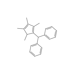 CC1=C(C)C(C)C(C(c2ccccc2)c2ccccc2)=C1C